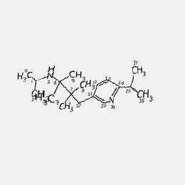 CC(C)NC(C)(C)C(C)(C)Cc1ccc(C(C)C)nc1